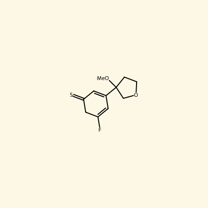 COC1(C2=CC(=S)CC(F)=C2)CCOC1